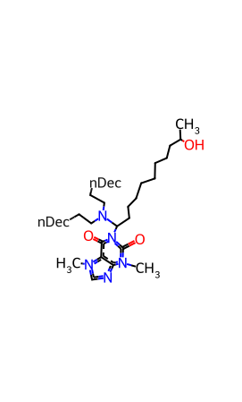 CCCCCCCCCCCCN(CCCCCCCCCCCC)C(CCCCCCCCC(C)O)n1c(=O)c2c(ncn2C)n(C)c1=O